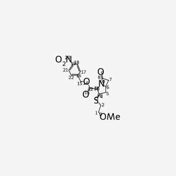 COCCS[C@@H]1CC2CC(=O)N2[C@@H]1C(=O)OCc1ccc([N+](=O)[O-])cc1